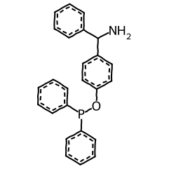 NC(c1ccccc1)c1ccc(OP(c2ccccc2)c2ccccc2)cc1